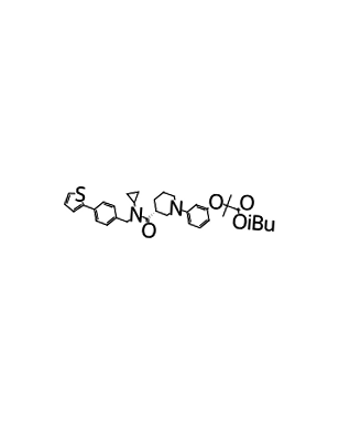 CC(C)COC(=O)C(C)(C)Oc1cccc(N2CCC[C@@H](C(=O)N(Cc3ccc(-c4cccs4)cc3)C3CC3)C2)c1